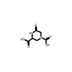 O=C1CN(C(=O)O)CC(C(=O)O)N1